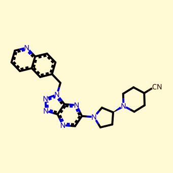 N#CC1CCN([C@H]2CCN(c3cnc4nnn(Cc5ccc6ncccc6c5)c4n3)C2)CC1